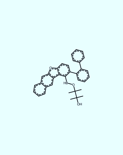 CC(C)(O)C(C)(C)OBc1c(-c2ccccc2-c2ccccc2)ccc2oc3cc4ccccc4cc3c12